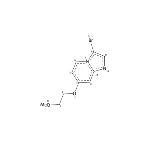 COCCOc1ccn2c(Br)cnc2c1